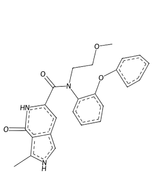 COCCN(C(=O)c1cc2c[nH]c(C)c2c(=O)[nH]1)c1ccccc1Oc1ccccc1